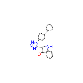 O=c1c(-c2nnnn2-c2ccc(-c3ccccc3)cc2)c[nH]c2ccccc12